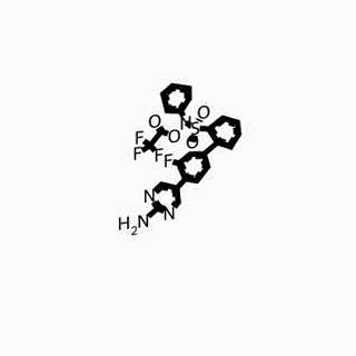 Nc1ncc(-c2ccc(-c3ccccc3S(=O)(=O)N(OC(=O)C(F)(F)F)c3ccccc3)cc2F)cn1